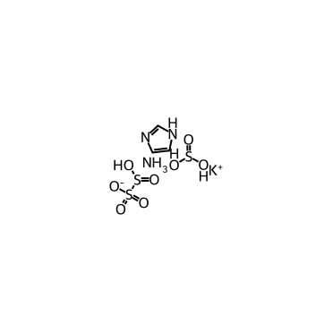 N.O=S(O)O.O=S(O)S(=O)(=O)[O-].[K+].c1c[nH]cn1